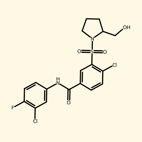 O=C(Nc1ccc(F)c(Cl)c1)c1ccc(Cl)c(S(=O)(=O)N2CCCC2CO)c1